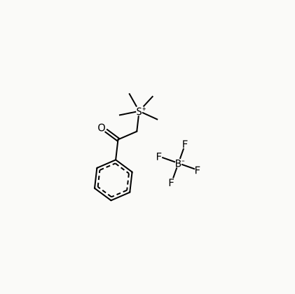 C[S+](C)(C)(C)CC(=O)c1ccccc1.F[B-](F)(F)F